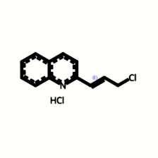 Cl.ClC/C=C/c1ccc2ccccc2n1